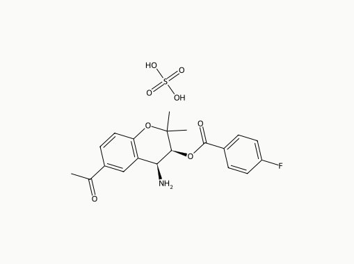 CC(=O)c1ccc2c(c1)[C@H](N)[C@H](OC(=O)c1ccc(F)cc1)C(C)(C)O2.O=S(=O)(O)O